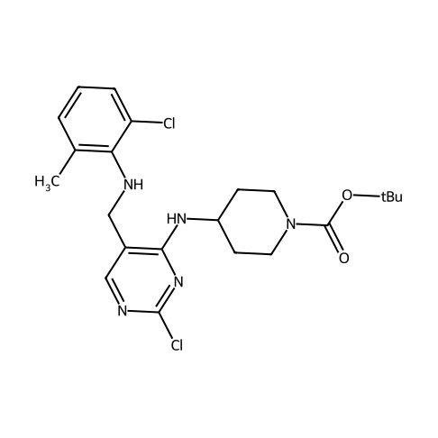 Cc1cccc(Cl)c1NCc1cnc(Cl)nc1NC1CCN(C(=O)OC(C)(C)C)CC1